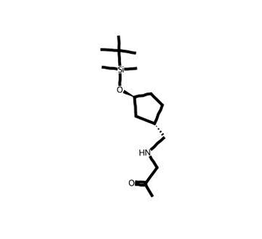 CC(=O)CNC[C@H]1CC[C@H](O[Si](C)(C)C(C)(C)C)C1